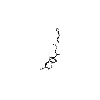 CN(CCNCCC=O)c1nc2cc(Cl)ccc2o1